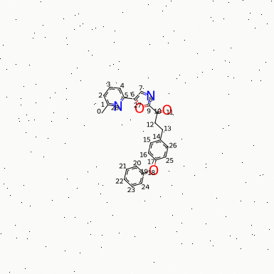 Cc1cccc(-c2cnc(C(=O)CCc3ccc(Oc4ccccc4)cc3)o2)n1